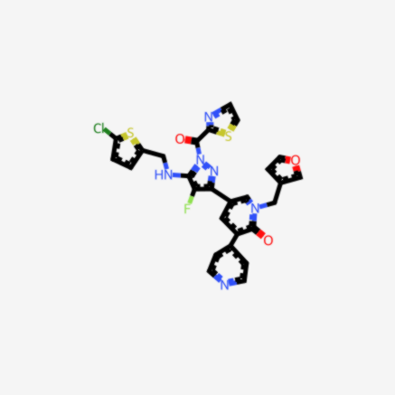 O=C(c1nccs1)n1nc(-c2cc(-c3ccncc3)c(=O)n(Cc3ccoc3)c2)c(F)c1NCc1ccc(Cl)s1